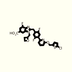 O=C(O)c1cc(F)c2nc(Cc3cc(F)c(-c4cccc(OCc5ccc(Cl)s5)n4)cc3F)n(CC3CCO3)c2c1